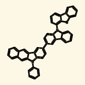 c1ccc(-n2c3ccc(-c4ccc5c(c4)c4ccccc4n5-c4cccc5c4sc4ccccc45)cc3c3cc4ccccc4cc32)cc1